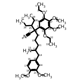 CCOc1cc(C(C#N)(CCCC(N)Cc2ccc(OC)c(OC)c2)C(CC)CC)c(OCC)c(OC)c1OC